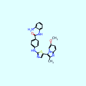 COc1ccc2nc(C)c(-c3cnc(Nc4ccc(C(=O)Nc5ccccc5N)cc4)s3)n2c1